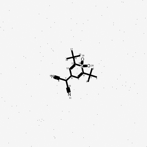 CC(C)(C)C1=CC(C(C#N)C#N)C=C(C(C)(C)C)S1(=O)=O